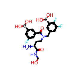 N[C@@H](CCN(Cc1cc(F)c(F)c(B(O)O)c1)C(=O)c1cc(F)cc(B(O)O)c1)C(=O)NCO